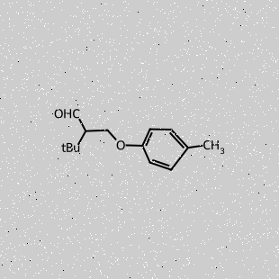 Cc1ccc(OCC(C=O)C(C)(C)C)cc1